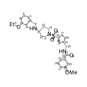 CCOc1cccc(CNC2CCN(S(=O)(=O)c3ccc(CNC(=O)c4cccc(OC)c4)s3)CC2)c1